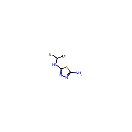 CCC(CC)Nc1nnc(N)s1